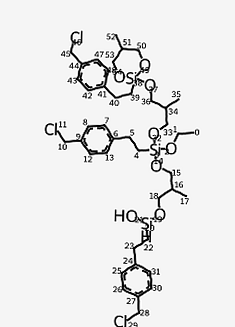 CCO[Si](CCc1ccc(CCl)cc1)(OCC(C)CO[SiH](O)CCc1ccc(CCl)cc1)OCC(C)CO[Si]1(CCc2ccc(CCl)cc2)OCC(C)CO1